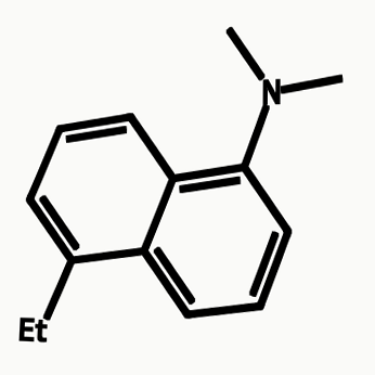 CCc1cccc2c(N(C)C)cccc12